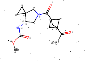 COC(=O)C12CC(C(=O)N3C[C@H](NC(=O)OC(C)(C)C)C4(CC4)C3)(C1)C2